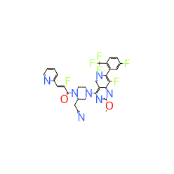 COc1nc(N2CCN(C(=O)/C(F)=C/c3ccccn3)C(CC#N)C2)c2cnc(-c3cc(F)ccc3C(F)(F)F)c(F)c2n1